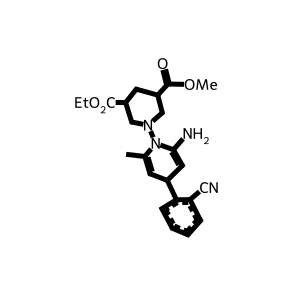 CCOC(=O)C1CC(C(=O)OC)CN(N2C(C)=CC(c3ccccc3C#N)C=C2N)C1